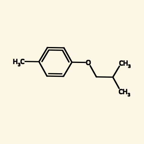 CC1=C=C=C(OCC(C)C)C=C1